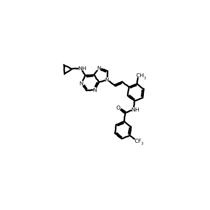 Cc1ccc(NC(=O)c2cccc(C(F)(F)F)c2)cc1C=Cn1cnc2c(NC3CC3)ncnc21